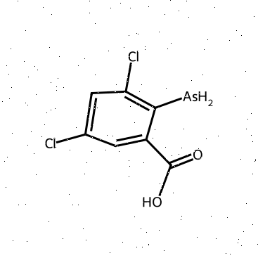 O=C(O)c1cc(Cl)cc(Cl)c1[AsH2]